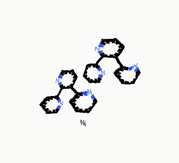 [Ni].c1ccc(-c2cccnc2-c2ccccn2)nc1.c1ccc(-c2cccnc2-c2ccccn2)nc1